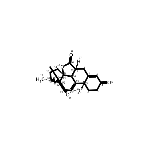 C[C@]12CCC(=O)C=C1C[C@H]1C(=O)O[C@@]34CC[C@@]5(C)CCC(=O)[C@]53CC=C2C14